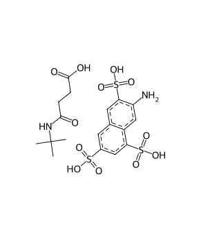 CC(C)(C)NC(=O)CCC(=O)O.Nc1cc2c(S(=O)(=O)O)cc(S(=O)(=O)O)cc2cc1S(=O)(=O)O